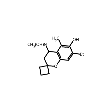 CCc1cc2c(c(C)c1O)C(N(C)O)CC1(CCC1)O2